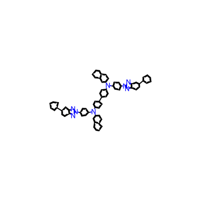 c1ccc(-c2ccc3nn(-c4ccc(N(c5ccc(-c6ccc(N(c7ccc(-n8nc9ccc(-c%10ccccc%10)cc9n8)cc7)c7ccc8ccccc8c7)cc6)cc5)c5ccc6ccccc6c5)cc4)nc3c2)cc1